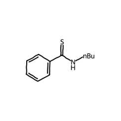 CCCCNC(=S)c1ccccc1